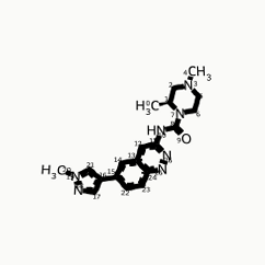 C[C@H]1CN(C)CCN1C(=O)Nc1cc2cc(-c3cnn(C)c3)ccc2nn1